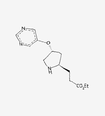 CCOC(=O)CC[C@@H]1C[C@@H](Oc2cncnc2)CN1